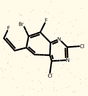 F/C=C\c1cc2c(Cl)nc(Cl)nc2c(F)c1Br